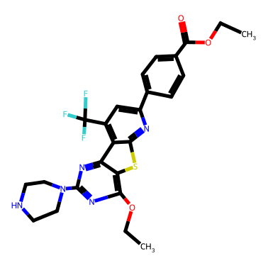 CCOC(=O)c1ccc(-c2cc(C(F)(F)F)c3c(n2)sc2c(OCC)nc(N4CCNCC4)nc23)cc1